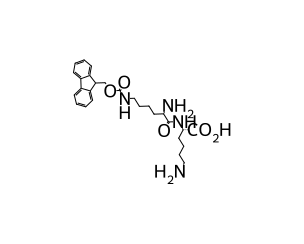 NCCCC[C@H](NC(=O)[C@@H](N)CCCCNC(=O)OCC1c2ccccc2-c2ccccc21)C(=O)O